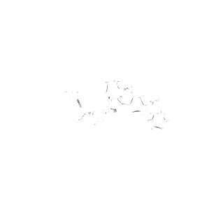 CC#CC(=O)N1CCN(c2nc(-c3ccc(C(=O)c4ccccn4)cc3)c3c(N)nccn23)C1